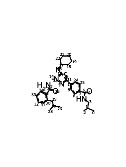 CC(C)CNC(=O)c1ccc(-c2nn(C)c(=NC3CCCCC3)s2)cc1.CC(C)Cc1ccccc1C(N)=O